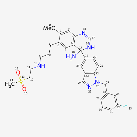 COc1cc2c(cc1CCCNCCS(C)(=O)=O)C(N)(c1ccc3c(cnn3Cc3cccc(F)c3)c1)NC=N2